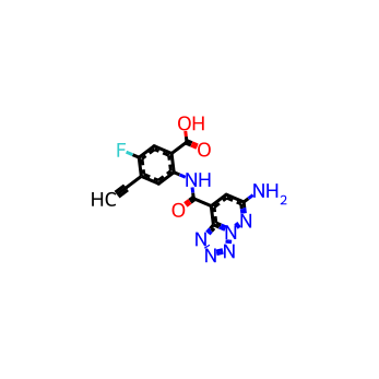 C#Cc1cc(NC(=O)c2cc(N)nn3nnnc23)c(C(=O)O)cc1F